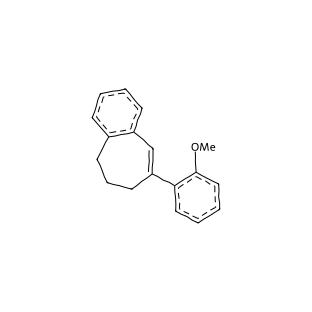 COc1ccccc1C1=Cc2ccccc2CCC1